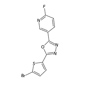 Fc1ccc(-c2nnc(-c3ccc(Br)s3)o2)cn1